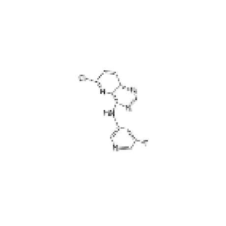 Fc1cncc(Nc2ncnc3ccc(Cl)nc23)c1